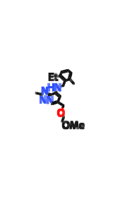 CCc1cccc(C)c1CNc1cc(COCCOC)cn2nc(C)nc12